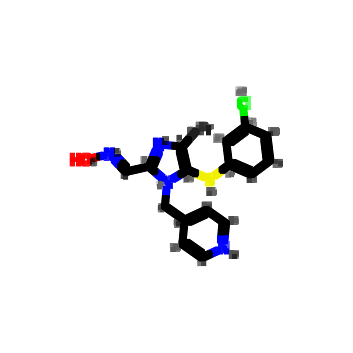 CC(C)c1nc(/C=N/O)n(Cc2ccncc2)c1Sc1cccc(Cl)c1